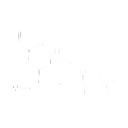 C=CC(=O)OC(CO)C(CCC[SiH](O[Si](C)(C)C)O[Si](C)(C)C)OC